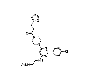 CC(=O)NCCNc1cc(N2CCN(C(=O)CCc3ccco3)CC2)nc(-c2ccc(Cl)cc2)n1